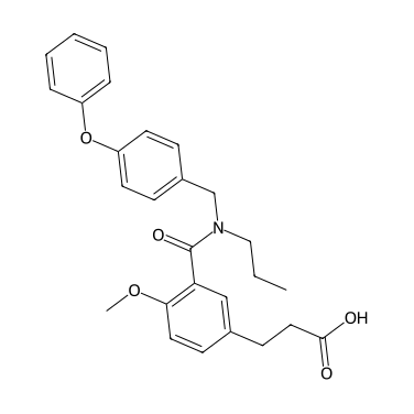 CCCN(Cc1ccc(Oc2ccccc2)cc1)C(=O)c1cc(CCC(=O)O)ccc1OC